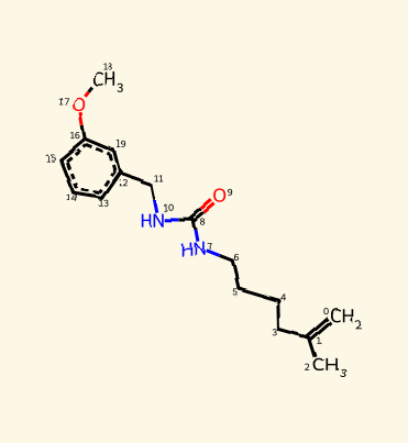 C=C(C)CCCCNC(=O)NCc1cccc(OC)c1